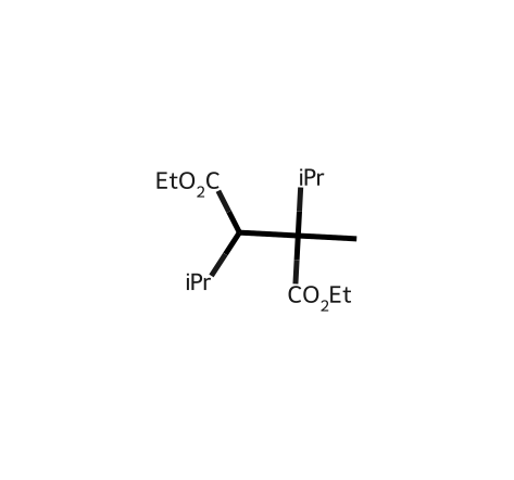 CCOC(=O)C(C(C)C)C(C)(C(=O)OCC)C(C)C